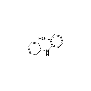 Oc1ccccc1N[C@H]1C=CC=CC1